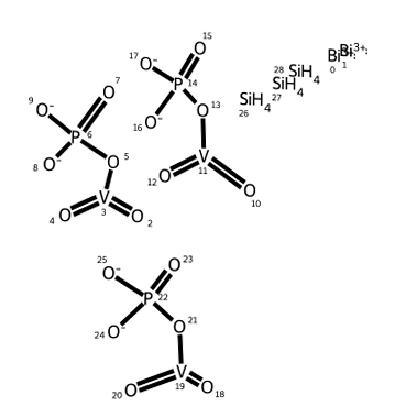 [Bi+3].[Bi+3].[O]=[V](=[O])[O]P(=O)([O-])[O-].[O]=[V](=[O])[O]P(=O)([O-])[O-].[O]=[V](=[O])[O]P(=O)([O-])[O-].[SiH4].[SiH4].[SiH4]